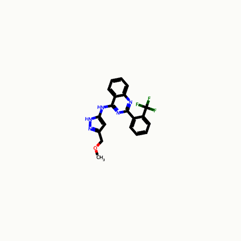 COCc1cc(Nc2nc(-c3ccccc3C(F)(F)F)nc3ccccc23)[nH]n1